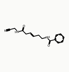 N#CCNC(=O)CC=CCCNC(=O)c1ccccc1